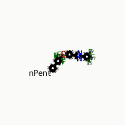 CCCCCc1ccc(-c2cc(F)c(C(F)(F)Oc3ccc(-c4cnc(-c5cc(F)c(F)c(F)c5)nc4)cc3)c(F)c2)cc1